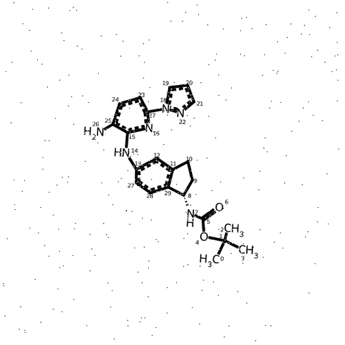 CC(C)(C)OC(=O)N[C@H]1CCc2cc(Nc3nc(-n4cccn4)ccc3N)ccc21